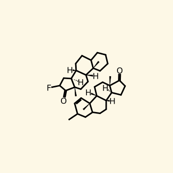 CC1C=C[C@@]2(C)C(CC[C@@H]3[C@H]2CC[C@]2(C)C(=O)CC[C@@H]32)C1.C[C@]12CCCCC1CC[C@@H]1[C@H]2CC[C@]2(C)C(=O)C(F)C[C@@H]12